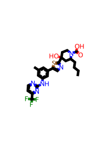 CCCCC1CC(O)(c2ncc(-c3cc(C)cc(Nc4nccc(C(F)(F)F)n4)c3)s2)CCN1C(=O)O